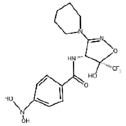 O=C(N[C@@H]1C(N2CCCCC2)=NO[C@]1(O)C(F)(F)F)c1ccc(N(O)O)cc1